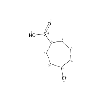 CCC1CCCC(S(=O)O)CC1